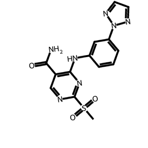 CS(=O)(=O)c1ncc(C(N)=O)c(Nc2cccc(-n3nccn3)c2)n1